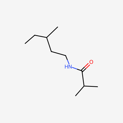 CCC(C)CCNC(=O)C(C)C